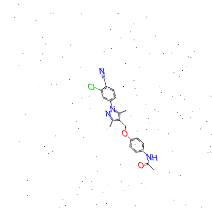 CC(=O)Nc1ccc(OCc2c(C)nn(-c3ccc(C#N)c(Cl)c3)c2C)cc1